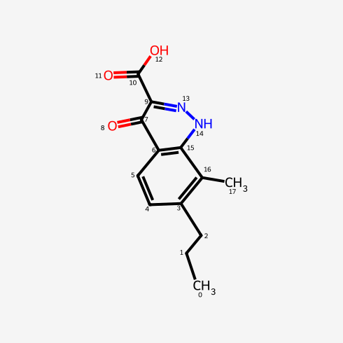 CCCc1ccc2c(=O)c(C(=O)O)n[nH]c2c1C